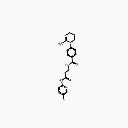 CC1=NCCCN1c1ccc(C(=O)NCCC(=O)Nc2ccc(Cl)cn2)cc1